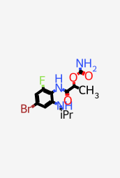 CC(C)Nc1cc(Br)cc(F)c1NC(=O)C(C)OC(N)=O